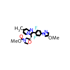 COC(=O)N1CCO[C@@H](Cc2c(-c3c(F)cc(-n4cc(OC)cn4)cc3F)nc3cc(C)ccn23)C1